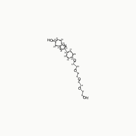 OCCOCCOCCOCCOc1ccc(-c2nc3ccc(O)cc3s2)cc1